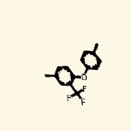 Cc1ccc(Oc2ccc(C)cc2C(F)(F)F)cc1